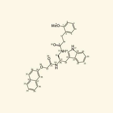 COc1ccccc1CCC(=O)NC[C@@H](Cc1c[nH]c2ccccc12)NC(=O)COc1ccc2ccccc2c1